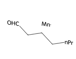 CCCCCCC=O.[Mn]